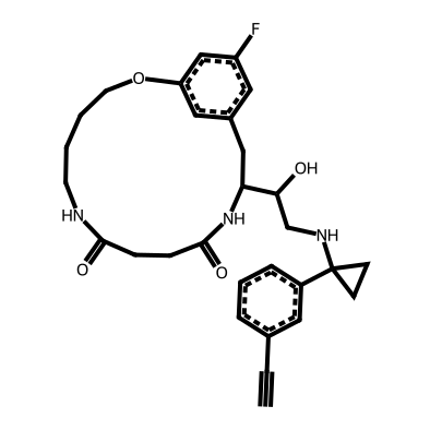 C#Cc1cccc(C2(NCC(O)C3Cc4cc(F)cc(c4)OCCCCNC(=O)CCC(=O)N3)CC2)c1